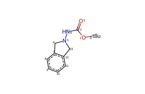 CC(C)(C)OC(=O)NN1Cc2ccccc2C1